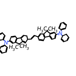 CC1(C)C2=CC(/C=C/c3ccc4c(c3)C(C)(C)c3cc(N(c5ccccc5)C5C=CC=CC5)ccc3-4)CC=C2c2ccc(N(C3=CC=CCC3)c3ccccc3)cc21